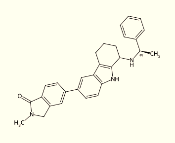 C[C@@H](NC1CCCc2c1[nH]c1ccc(-c3ccc4c(c3)CN(C)C4=O)cc21)c1ccccc1